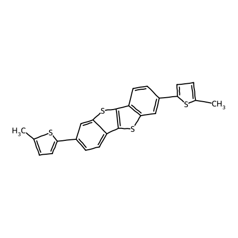 Cc1ccc(-c2ccc3c(c2)sc2c4ccc(-c5ccc(C)s5)cc4sc32)s1